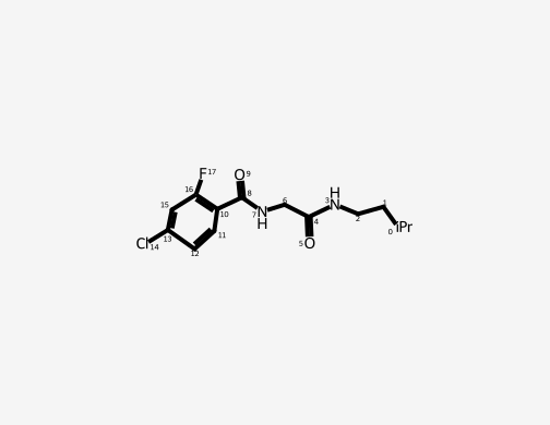 CC(C)C[CH]NC(=O)CNC(=O)c1ccc(Cl)cc1F